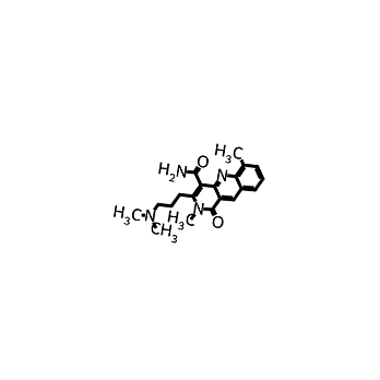 Cc1cccc2cc3c(=O)n(C)c(CCCN(C)C)c(C(N)=O)c3nc12